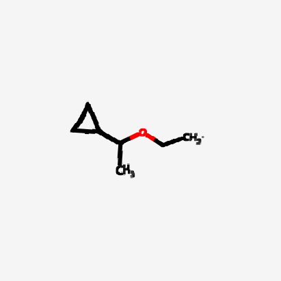 [CH2]COC(C)C1CC1